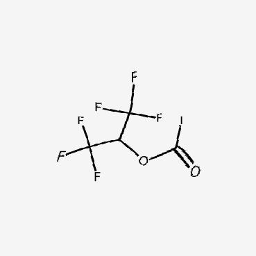 O=C(I)OC(C(F)(F)F)C(F)(F)F